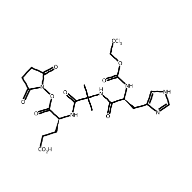 CC(C)(NC(=O)[C@H](Cc1c[nH]cn1)NC(=O)OCC(Cl)(Cl)Cl)C(=O)N[C@@H](CCC(=O)O)C(=O)ON1C(=O)CCC1=O